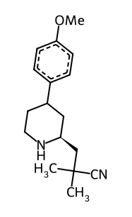 COc1ccc(C2CCN[C@H](CC(C)(C)C#N)C2)cc1